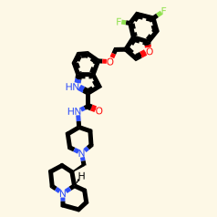 O=C(NC1CCN(C[C@@H]2CCCN3CCCC[C@H]23)CC1)c1cc2c(OCc3coc4cc(F)cc(F)c34)cccc2[nH]1